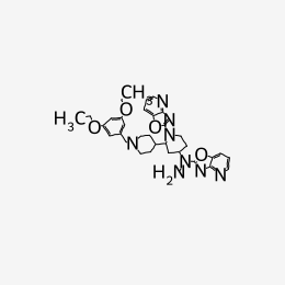 CCOc1cc(CN2CCC(C3CC(N(N)c4nc5ncccc5o4)CCN3c3nc4ncccc4o3)CC2)cc(OCC)c1